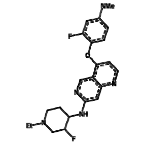 CCN1CCC(Nc2cc3nccc(Oc4ccc(NC)cc4F)c3cn2)C(F)C1